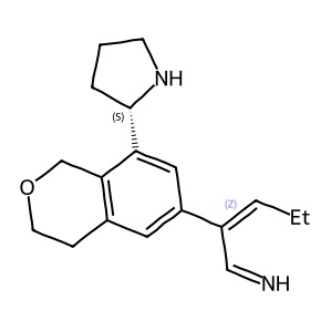 CC/C=C(\C=N)c1cc2c(c([C@@H]3CCCN3)c1)COCC2